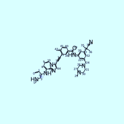 C=C/C(=C\NC)Nc1cccn2c(C#Cc3cc(C(=O)Nc4cc(CN5CCN(C)CC5)cc(C(C)(C)C#N)c4)ccc3C)cnc12